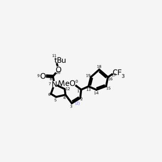 COC(/C=C\C1CCN(C(=O)OC(C)(C)C)C1)c1ccc(C(F)(F)F)cc1